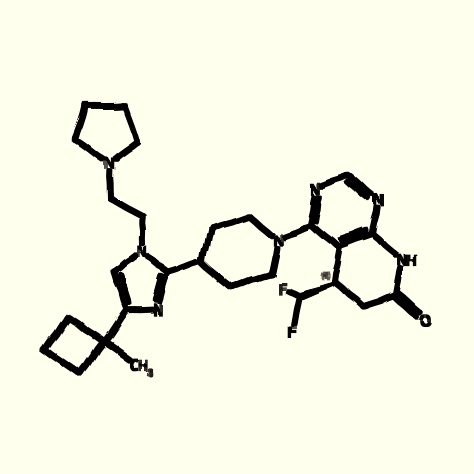 CC1(c2cn(CCN3CCCC3)c(C3CCN(c4ncnc5c4[C@H](C(F)F)CC(=O)N5)CC3)n2)CCC1